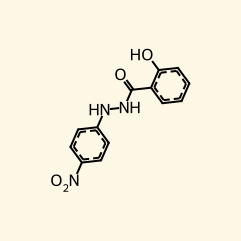 O=C(NNc1ccc([N+](=O)[O-])cc1)c1ccccc1O